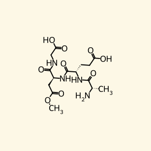 COC(=O)C[C@H](NC(=O)[C@H](CCC(=O)O)NC(=O)[C@H](C)N)C(=O)NCC(=O)O